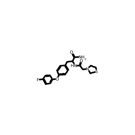 NC(=O)C(Cc1ccc(Oc2ccc(F)cc2)cc1)NC(=O)CN1CCSC1